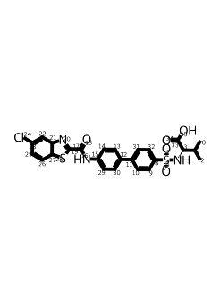 CC(C)[C@H](NS(=O)(=O)c1ccc(-c2ccc(NC(=O)C3=NC4C=C(Cl)C=CC4S3)cc2)cc1)C(=O)O